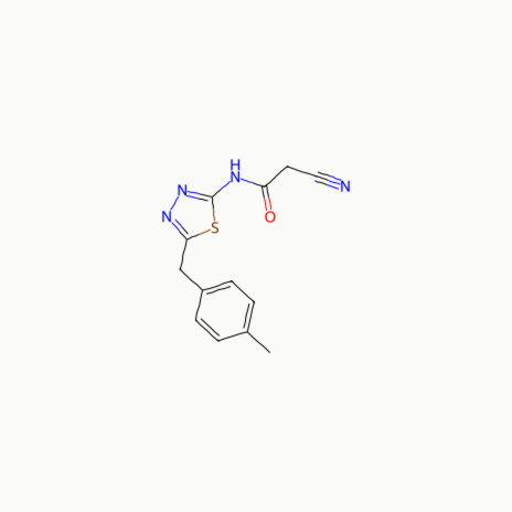 Cc1ccc(Cc2nnc(NC(=O)CC#N)s2)cc1